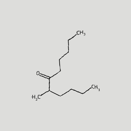 [CH2]C(CCCC)C(=O)CCCCC